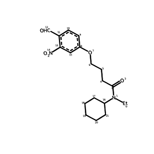 CCN(C(=O)CCCOc1ccc(C=O)c([N+](=O)[O-])c1)C1CCCCC1